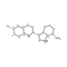 Cc1cccc2c(-c3ccc4cc(F)ccc4n3)c[nH]c12